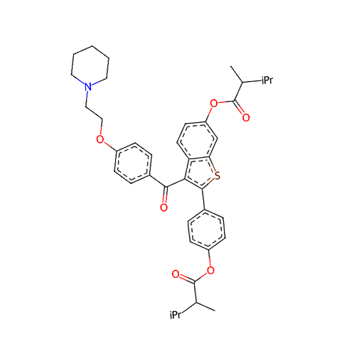 CC(C)C(C)C(=O)Oc1ccc(-c2sc3cc(OC(=O)C(C)C(C)C)ccc3c2C(=O)c2ccc(OCCN3CCCCC3)cc2)cc1